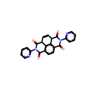 O=C1c2ccc3c4c2C(C=CC4C(=O)N(c2ccccn2)C3=O)C(=O)N1c1ccccn1